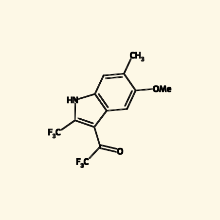 COc1cc2c(C(=O)C(F)(F)F)c(C(F)(F)F)[nH]c2cc1C